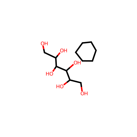 C1CCCCC1.OCC(O)C(O)C(O)C(O)CO